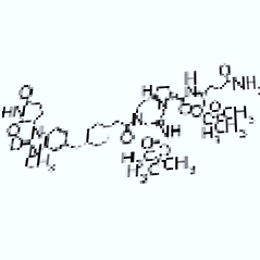 Cn1c(=O)n(C2CCC(=O)NC2=O)c2ccc(C[C@H]3CC[C@H](CC(=O)N4CC[C@H]5CC[C@@H](C(=O)N[C@@H](CCC(N)=O)C(=O)OC(C)(C)C)N5C[C@@H](NC(=O)OC(C)(C)C)C4)CC3)cc21